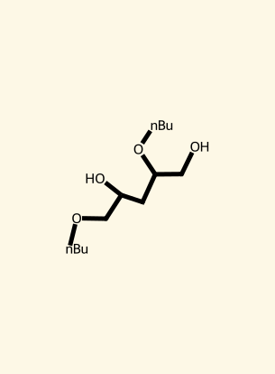 CCCCOCC(O)CC(CO)OCCCC